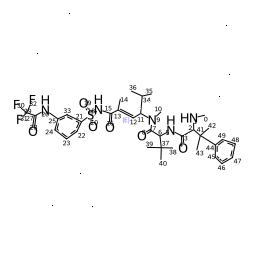 CNC(C(=O)NC(C(=O)N(C)C(/C=C(\C)C(=O)NS(=O)(=O)c1cccc(NC(=O)C(F)(F)F)c1)C(C)C)C(C)(C)C)C(C)(C)c1ccccc1